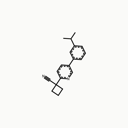 CC(C)c1cccc(-c2ccc(C3(C#N)CCC3)nc2)c1